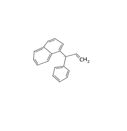 C=C[C](c1ccccc1)c1cccc2ccccc12